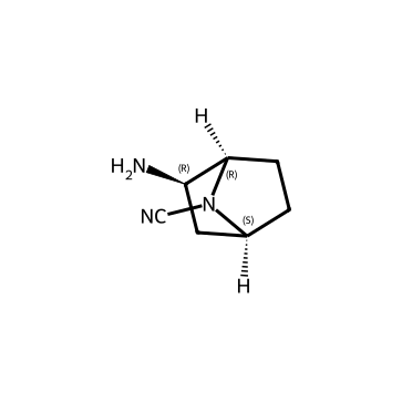 N#CN1[C@H]2CC[C@@H]1[C@H](N)C2